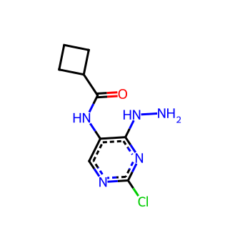 NNc1nc(Cl)ncc1NC(=O)C1CCC1